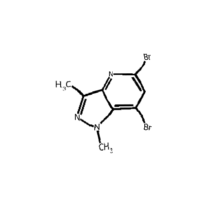 Cc1nn(C)c2c(Br)cc(Br)nc12